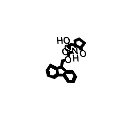 O=C(NC1(C(=O)O)CCCC1=O)OCC1c2ccccc2-c2ccccc21